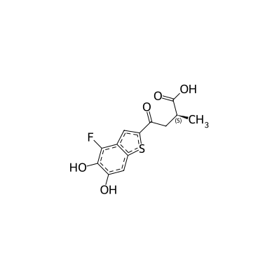 C[C@@H](CC(=O)c1cc2c(F)c(O)c(O)cc2s1)C(=O)O